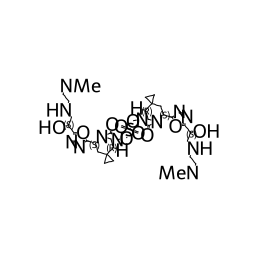 CNCCNC[C@H](O)c1nnc([C@@H]2CC3(CC3)[C@@H]3CN2C(=O)N3OS(=O)(=O)ON2C(=O)N3C[C@H]2C2(CC2)C[C@H]3c2nnc([C@@H](O)CNCCNC)o2)o1